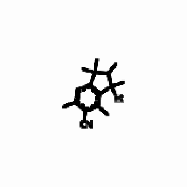 CCC1(C)c2c(cc(C)c(C#N)c2C)C(C)(C)C1C